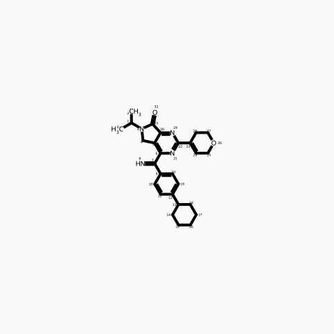 CC(C)N1Cc2c(C(=N)c3ccc(C4CCCCC4)cc3)nc(C3=CCOCC3)nc2C1=O